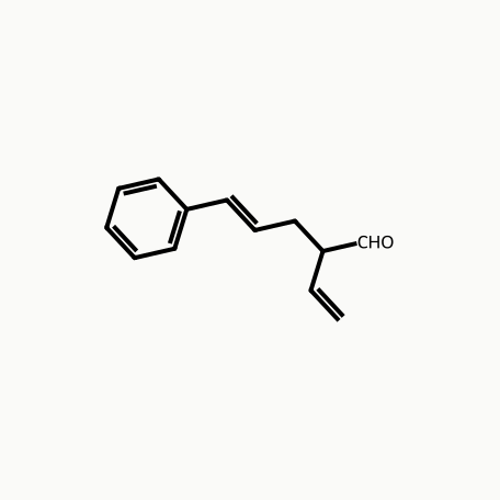 C=CC(C=O)CC=Cc1ccccc1